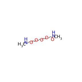 CNCCOCCOCCOCCOCCC(=O)NC